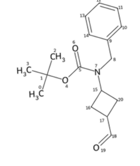 CC(C)(C)OC(=O)N(Cc1ccccc1)C1CC(C=O)C1